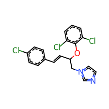 Clc1ccc(C=CC(Cn2ccnc2)Oc2c(Cl)cccc2Cl)cc1